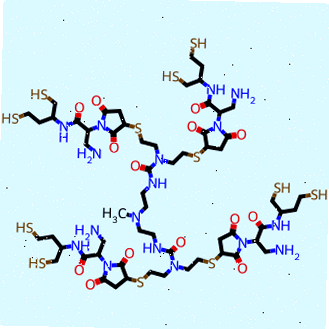 CN(CCNC(=O)N(CCSC1CC(=O)N(C(CN)C(=O)NC(CS)CCS)C1=O)CCSC1CC(=O)N(C(CN)C(=O)NC(CS)CCS)C1=O)CCNC(=O)N(CCSC1CC(=O)N(C(CN)C(=O)NC(CS)CCS)C1=O)CCSC1CC(=O)N(C(CN)C(=O)NC(CS)CCS)C1=O